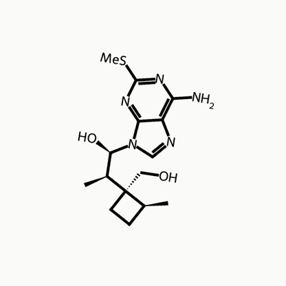 CSc1nc(N)c2ncn([C@H](O)[C@H](C)[C@]3(CO)CC[C@@H]3C)c2n1